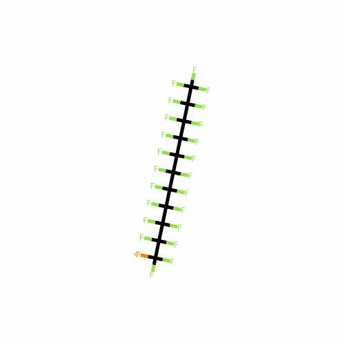 FC(F)(F)C(F)(F)C(F)(F)C(F)(F)C(F)(F)C(F)(F)C(F)(F)C(F)(F)C(F)(F)C(F)(F)C(F)(F)[P]